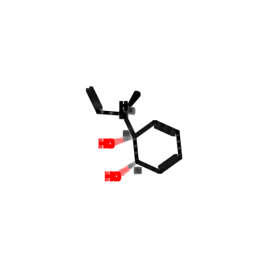 C=C[Si@@H](C)[C@@]1(O)C=CC=C[C@@H]1O